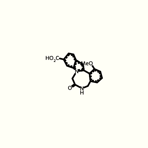 COc1cccc2c1-c1cc3ccc(C(=O)O)cc3n1CC(=O)NC2